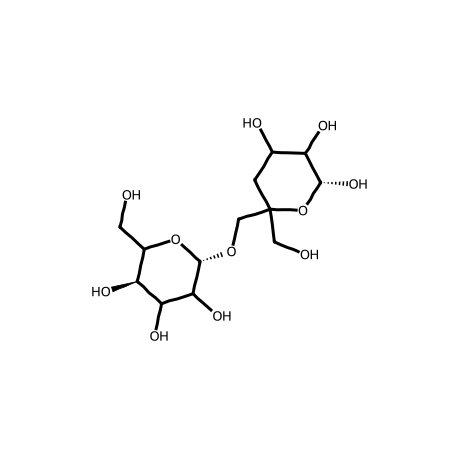 OCC1O[C@H](OCC2(CO)CC(O)C(O)[C@H](O)O2)C(O)C(O)[C@H]1O